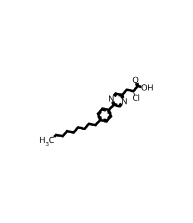 CCCCCCCCCc1ccc(-c2cnc(C[C@@H](Cl)C(=O)O)cn2)cc1